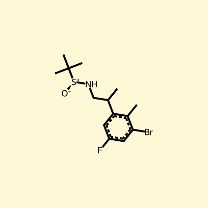 Cc1c(Br)cc(F)cc1C(C)CN[S@@+]([O-])C(C)(C)C